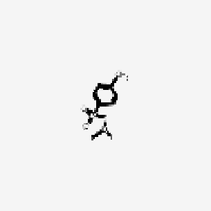 Cc1ccc(S(=O)(=O)SB(I)I)cc1